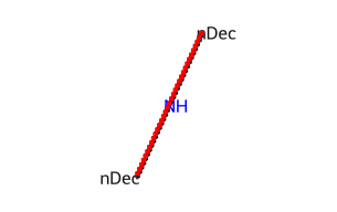 CCCCCCCCCCCCCCCCCCCCCCCCCCCCCCCCCCCCCCCCCCNCCCCCCCCCCCCCCCCCCCCCCCCCCCCCCCCCCCCCCCCCC